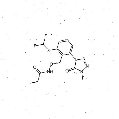 CCC(=O)NOCc1c(SC(F)F)cccc1-n1nnn(C)c1=O